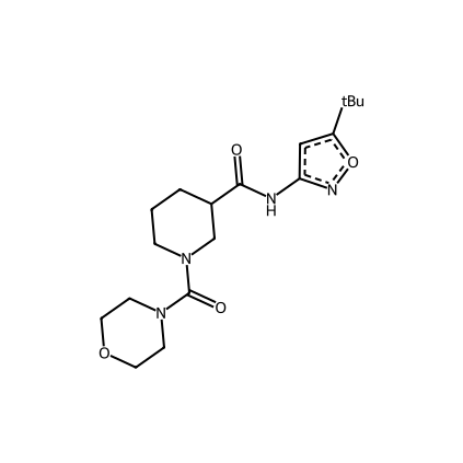 CC(C)(C)c1cc(NC(=O)C2CCCN(C(=O)N3CCOCC3)C2)no1